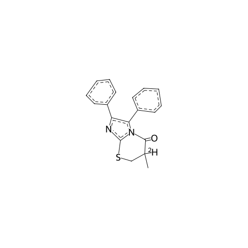 [2H]C1(C)CSc2nc(-c3ccccc3)c(-c3ccccc3)n2C1=O